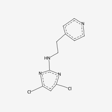 Clc1cc(Cl)nc(NCCc2ccncc2)n1